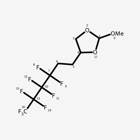 COC1OCC(CCC(F)(F)C(F)(F)C(F)(F)C(F)(F)F)O1